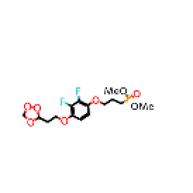 COP(=O)(CCCOc1ccc(OCCC2OCOO2)c(F)c1F)OC